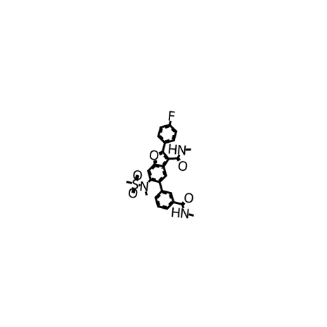 CNC(=O)c1cccc(-c2cc3c(C(=O)NC)c(-c4ccc(F)cc4)oc3cc2N(C)S(C)(=O)=O)c1